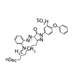 CCCCCCCCCCCCCCCCCC1=NN(c2ccc(Oc3ccccc3)c(S(=O)(=O)O)c2)C(=O)C1/N=N/c1ccccc1N(C)C